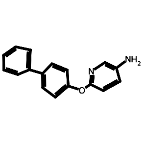 Nc1ccc(Oc2ccc(-c3ccccc3)cc2)nc1